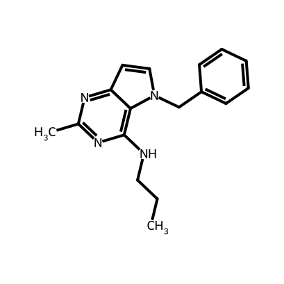 CCCNc1nc(C)nc2ccn(Cc3ccccc3)c12